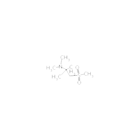 CN(C)C(C)(C)CS(C)(=O)=O